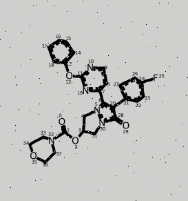 O=C(OC1Cn2c(-c3ccnc(Oc4ccccc4)n3)c(-c3ccc(F)cc3)c(=O)n2C1)N1CCOCC1